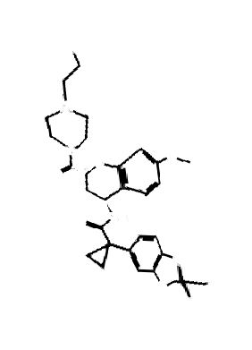 COc1ccc2c(c1)O[C@@H](C(=O)N1CCN(CCO)CC1)C[C@@H]2NC(=O)C1(c2ccc3c(c2)OC(F)(F)O3)CC1